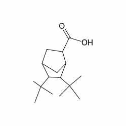 CC(C)(C)C1C2CC(C(=O)O)C(C2)C1C(C)(C)C